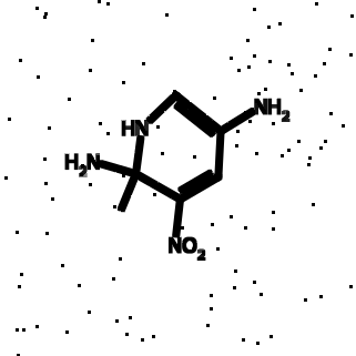 CC1(N)NC=C(N)C=C1[N+](=O)[O-]